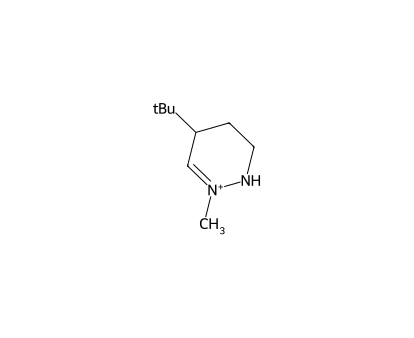 C[N+]1=CC(C(C)(C)C)CCN1